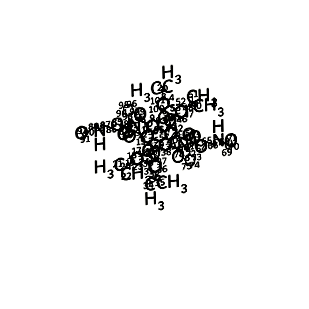 CC(C)c1ccc(Oc2cc3c4c(cc(Oc5ccc(C(C)C)cc5)c5c6c(Oc7ccc(C(C)C)cc7)cc7c8c(cc(Oc9ccc(C(C)C)cc9)c(c2c45)c86)C(=O)N(C(C(=O)OCCNC2CCO2)C2CCCC2)C7=O)C(=O)N(C(C(=O)OCCNCC2CO2)C2CCCC2)C3=O)cc1